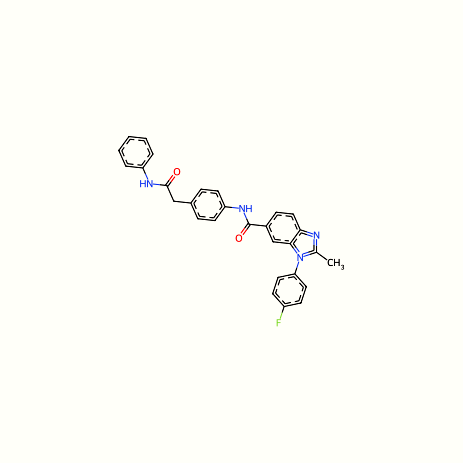 Cc1nc2ccc(C(=O)Nc3ccc(CC(=O)Nc4ccccc4)cc3)cc2n1-c1ccc(F)cc1